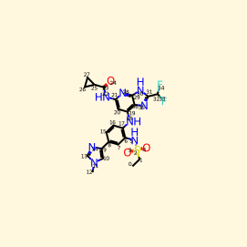 CCS(=O)(=O)Nc1cc(-c2cn(C)cn2)ccc1Nc1cc(NC(=O)C2CC2)nc2[nH]c(C(F)F)nc12